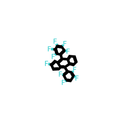 Fc1ccc2c(-c3c(F)c(F)cc(F)c3F)c3ccccc3c(-c3c(F)c(F)c(F)c(F)c3F)c2c1